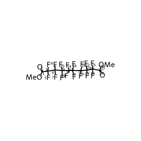 COC(=O)C(F)(F)C(F)(F)C(F)(F)C(F)(F)C(F)(F)C(F)(F)C(F)(F)C(F)(F)C(=O)OC